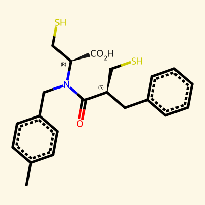 Cc1ccc(CN(C(=O)[C@@H](CS)Cc2ccccc2)[C@@H](CS)C(=O)O)cc1